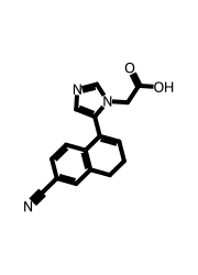 N#Cc1ccc2c(c1)CCC=C2c1cncn1CC(=O)O